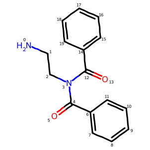 NCCN(C(=O)c1ccccc1)C(=O)c1ccccc1